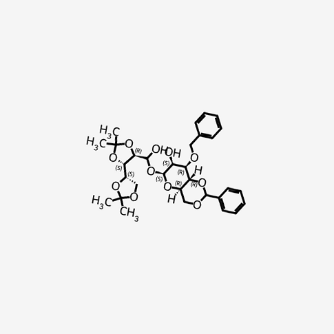 CC1(C)OC[C@@H]([C@@H]2OC(C)(C)O[C@H]2C(O)O[C@@H]2O[C@@H]3COC(c4ccccc4)O[C@H]3[C@H](OCc3ccccc3)[C@@H]2O)O1